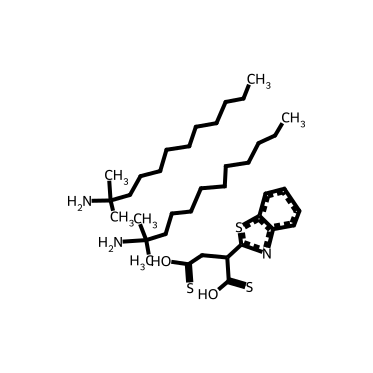 CCCCCCCCCCC(C)(C)N.CCCCCCCCCCC(C)(C)N.OC(=S)CC(C(O)=S)c1nc2ccccc2s1